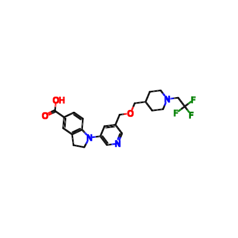 O=C(O)c1ccc2c(c1)CCN2c1cncc(COCC2CCN(CC(F)(F)F)CC2)c1